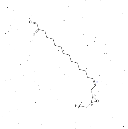 CC[C@H]1O[C@H]1C/C=C\CCCCCCCCCCCCC(=O)C=O